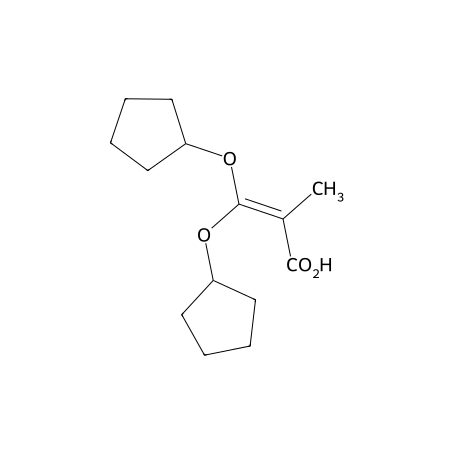 CC(C(=O)O)=C(OC1CCCC1)OC1CCCC1